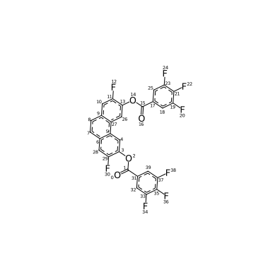 O=C(Oc1cc2c(ccc3cc(F)c(OC(=O)c4cc(F)c(F)c(F)c4)cc32)cc1F)c1cc(F)c(F)c(F)c1